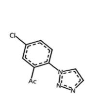 CC(=O)c1cc(Cl)ccc1-n1ccnn1